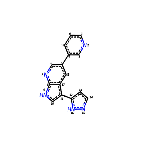 c1cncc(-c2cnc3[nH]cc(-c4ccn[nH]4)c3c2)c1